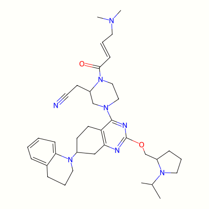 CC(C)N1CCCC1COc1nc2c(c(N3CCN(C(=O)C=CCN(C)C)C(CC#N)C3)n1)CCC(N1CCCc3ccccc31)C2